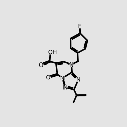 CC(C)c1nc2n(Cc3ccc(F)cc3)cc(C(=O)O)c(=O)n2n1